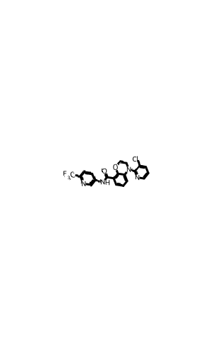 O=C(Nc1ccc(C(F)(F)F)nc1)c1cccc2c1OCCN2c1ncccc1Cl